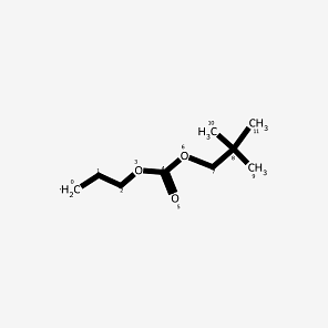 [CH2]CCOC(=O)OCC(C)(C)C